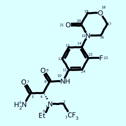 CCN(CC(F)(F)F)[C@H](C(N)=O)C(=O)Nc1ccc(N2CCOCC2=O)c(F)c1